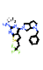 CNc1nc(N2CC3CCN(Cc4ccccc4)C3C2)c2cc(CC(F)(F)F)sc2n1